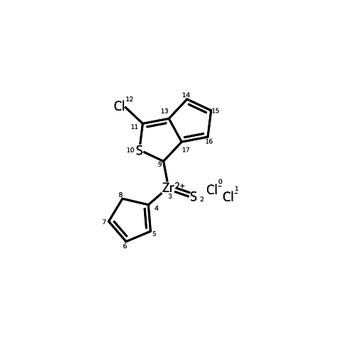 [Cl-].[Cl-].[S]=[Zr+2]([C]1=CC=CC1)[CH]1SC(Cl)=C2C=CC=C21